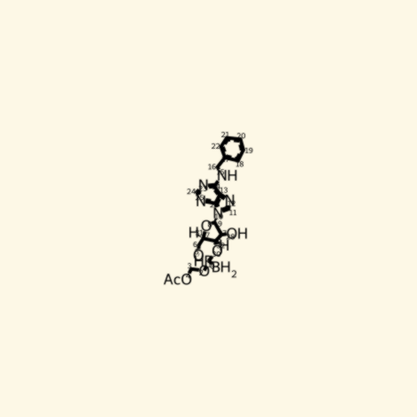 B[PH]1(OCOC(C)=O)OC[C@H]2O[C@@H](n3cnc4c(NCc5ccccc5)ncnc43)C(O)[C@@H]2O1